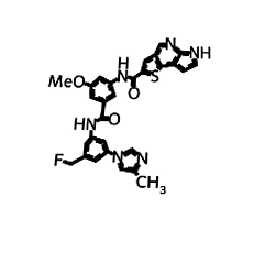 COc1cc(NC(=O)c2cc3cnc4[nH]ccc4c3s2)cc(C(=O)Nc2cc(CF)cc(-n3cnc(C)c3)c2)c1